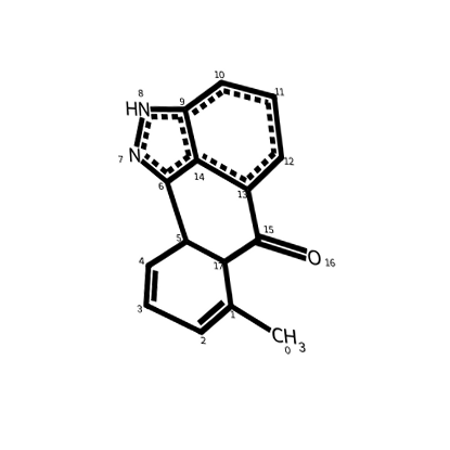 CC1=CC=CC2c3n[nH]c4cccc(c34)C(=O)C12